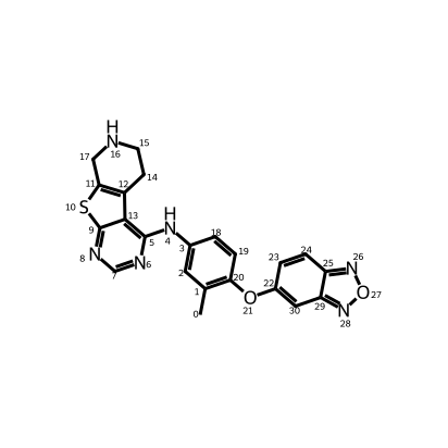 Cc1cc(Nc2ncnc3sc4c(c23)CCNC4)ccc1Oc1ccc2nonc2c1